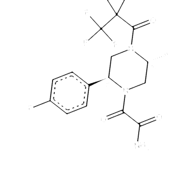 C[C@@H]1CN(C(=O)C(N)=O)[C@@H](c2ccc(F)cc2)CN1C(=O)C1(C(F)(F)F)CC1